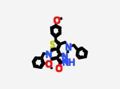 COc1ccc(-c2sc3c(c4n[nH]c(=O)c-4cn3Cc3ccccc3OC)c2CN(C)Cc2ccccc2)cc1